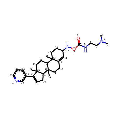 CN(C)CCNC(=O)ONC1C=C2CCC3(C)C(CCC4(C)C(c5cccnc5)=CCC43)C2(C)CC1